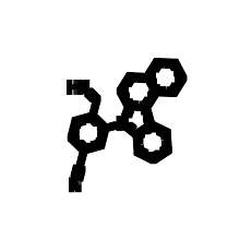 N#Cc1ccc(C=N)c(-n2c3ccccc3c3c4ccccc4ccc32)c1